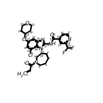 C=CC(=O)N1CCCC[C@@H](n2c(NC(=O)c3ccnc(C(F)F)c3)nc3cc(OC4CCOCC4)cc(Cl)c32)C1